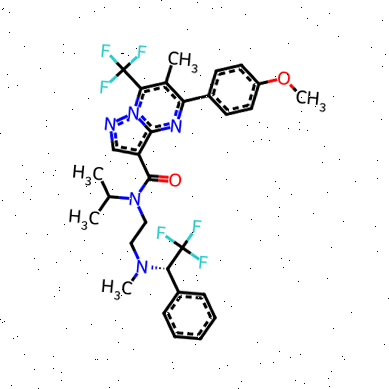 COc1ccc(-c2nc3c(C(=O)N(CCN(C)[C@@H](c4ccccc4)C(F)(F)F)C(C)C)cnn3c(C(F)(F)F)c2C)cc1